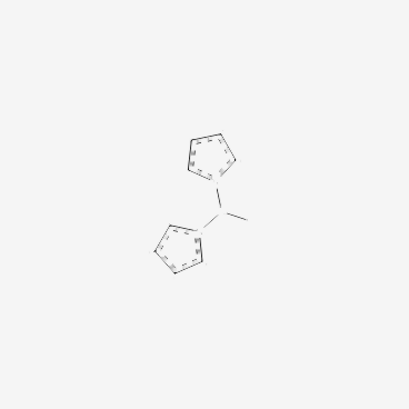 FB(n1cccc1)n1cccc1